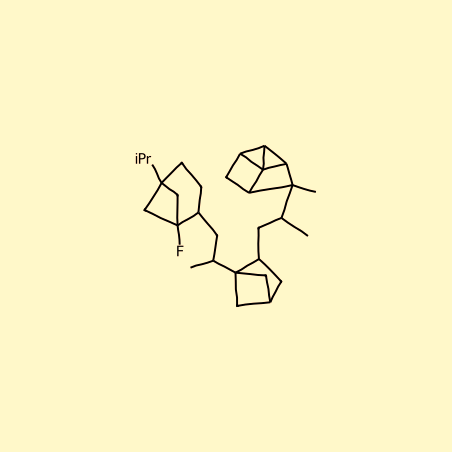 CC(C)C12CCC(CC(C)C34CC(CC3CC(C)C3(C)C5CC6C7C3C675)C4)C(F)(C1)C2